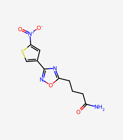 NC(=O)CCCc1nc(-c2csc([N+](=O)[O-])c2)no1